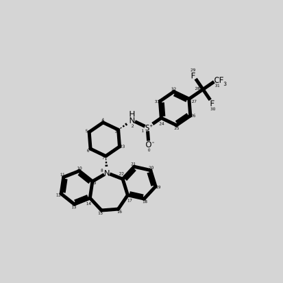 [O-][S+](N[C@H]1CCC[C@@H](N2c3ccccc3CCc3ccccc32)C1)c1ccc(C(F)(F)C(F)(F)F)cc1